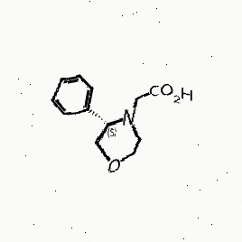 O=C(O)CN1CCOC[C@@H]1c1ccccc1